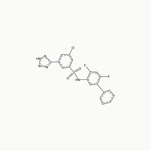 O=S(=O)(Nc1cc(-c2ccccc2)c(F)cc1F)c1cc(Cl)cc(-c2nn[nH]n2)c1